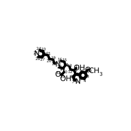 COc1ccc2nccc(C(O)CC[C@@H]3CCN(CCCCc4ccncc4)C[C@@H]3CC(=O)O)c2c1